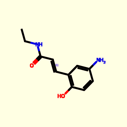 CCNC(=O)/C=C/c1cc(N)ccc1O